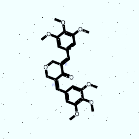 COc1cc(/C=C2/COC/C(=C\c3cc(OC)c(OC)c(OC)c3)C2=O)cc(OC)c1OC